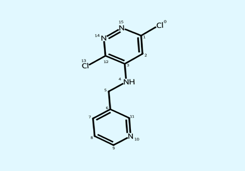 Clc1cc(NCc2cccnc2)c(Cl)nn1